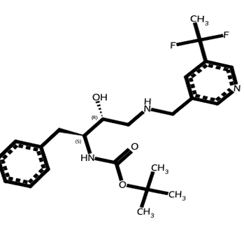 CC(C)(C)OC(=O)N[C@@H](Cc1ccccc1)[C@H](O)CNCc1cncc(C(C)(F)F)c1